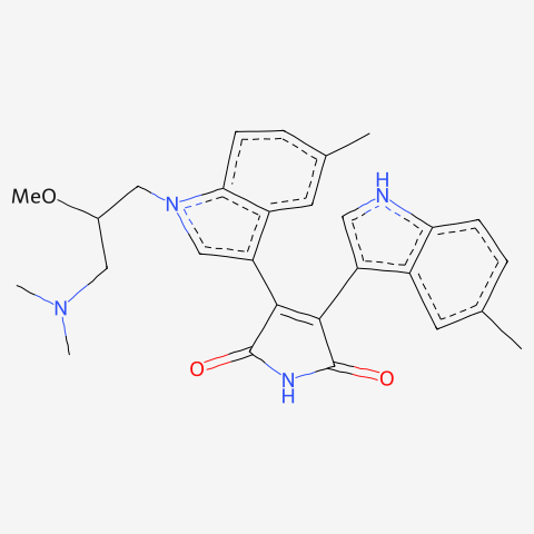 COC(CN(C)C)Cn1cc(C2=C(c3c[nH]c4ccc(C)cc34)C(=O)NC2=O)c2cc(C)ccc21